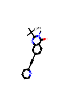 COC(C)(C)c1nc2cc(C#Cc3ccccn3)ccc2c(=O)n1C